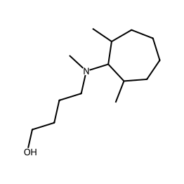 CC1CCCCC(C)C1N(C)CCCCO